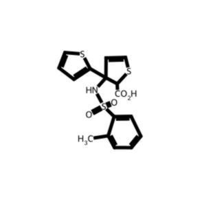 Cc1ccccc1S(=O)(=O)NC1(c2cccs2)C=CSC1C(=O)O